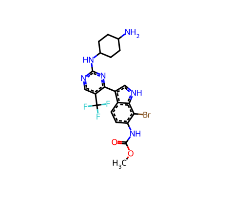 COC(=O)Nc1ccc2c(-c3nc(NC4CCC(N)CC4)ncc3C(F)(F)F)c[nH]c2c1Br